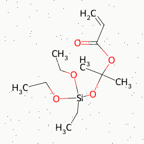 C=CC(=O)OC(C)(C)O[Si](CC)(OCC)OCC